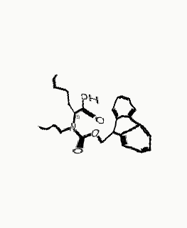 CCCC[C@@H](C(=O)O)N(CCC)C(=O)OCC1c2ccccc2-c2ccccc21